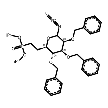 CC(C)OP(=O)(CC[C@H]1OC(N=[N+]=[N-])[C@@H](OCc2ccccc2)[C@@H](OCc2ccccc2)[C@@H]1OCc1ccccc1)OC(C)C